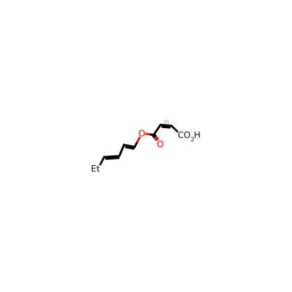 CCC=CC=COC(=O)/C=C\C(=O)O